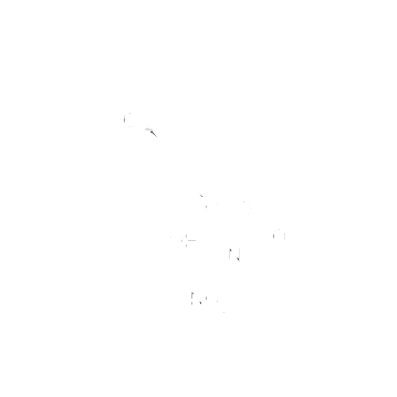 O=C(OCc1ccccc1)N1CC[C@](CO)([N+](=O)[O-])[C@@H]1CO[C@H]1CC[C@@H](c2ccccc2)CC1